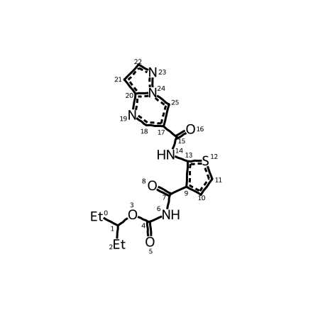 CCC(CC)OC(=O)NC(=O)c1ccsc1NC(=O)c1cnc2ccnn2c1